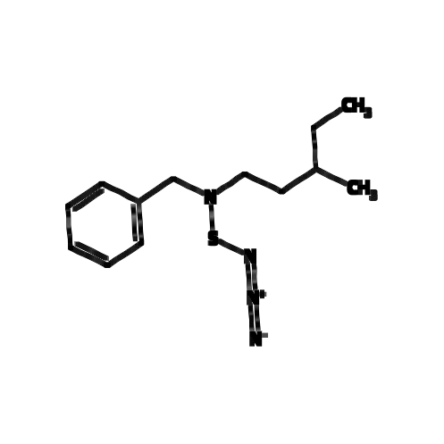 CCC(C)CCN(Cc1ccccc1)SN=[N+]=[N-]